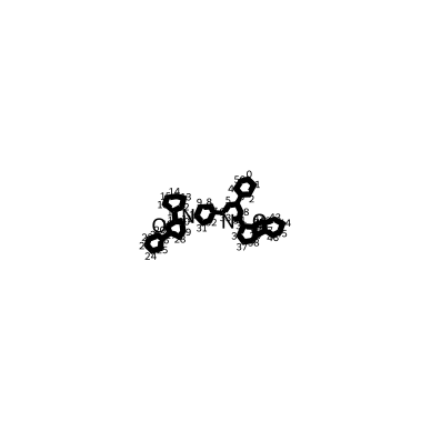 c1ccc(-c2cc(-c3ccc(-n4c5ccccc5c5c6oc7ccccc7c6ccc54)cc3)nc(-c3cccc4c3oc3ccccc34)c2)cc1